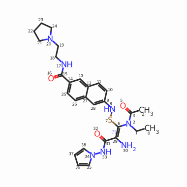 CCN(C(C)=O)/C(SNc1ccc2cc(C(=O)NCCN3CCCC3)ccc2c1)=C(\N)C(=O)Nn1cccc1